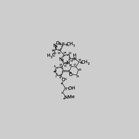 CNCC(O)COc1cccc(-c2nc(NC(C)C3CCOCC3)cc(-c3c(C)noc3C)n2)c1